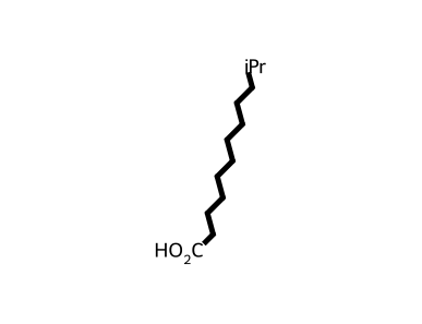 CC(C)CCCCCCCCCC(=O)O